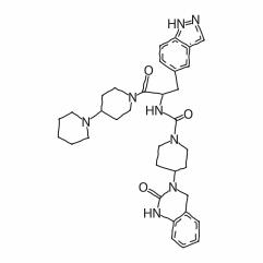 O=C(NC(Cc1ccc2[nH]ncc2c1)C(=O)N1CCC(N2CCCCC2)CC1)N1CCC(N2Cc3ccccc3NC2=O)CC1